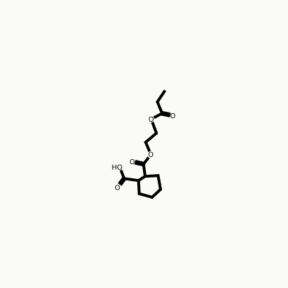 CCC(=O)OCCOC(=O)C1CCCCC1C(=O)O